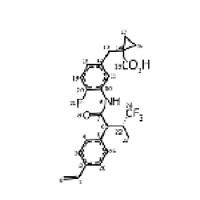 C=Cc1ccc([C@@H](C(=O)Nc2cc(CC3(C(=O)O)CC3)ccc2F)[C@@H](C)C(F)(F)F)cc1